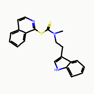 CN(CCc1c[nH]c2ccccc12)C(=S)Sc1nccc2ccccc12